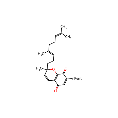 CCCCCC1=CC(=O)C2=C(OC(C)(CC/C=C(\C)CCC=C(C)C)C=C2)C1=O